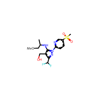 COCC(C)Nc1c(CO)c(C(F)F)nn1-c1ccc(S(C)(=O)=O)cn1